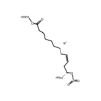 CCCCCCOC(=O)CCCCCCC/C=C\C[C@@H](CCCCCC)O[S-](=O)=O.[K+]